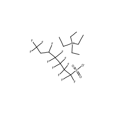 CC[N+](CC)(CC)CC.O=S(=O)([O-])C(F)(F)C(F)(F)C(F)(F)C(F)(F)C(F)CC(F)(F)F